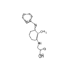 CC1=C(NCC(=O)O)CCCC1=Nc1ccccc1